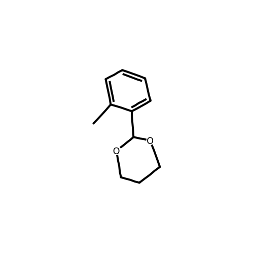 Cc1ccccc1C1OCCCO1